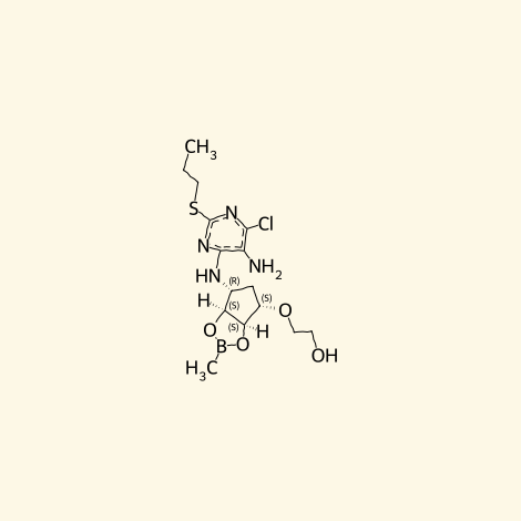 CCCSc1nc(Cl)c(N)c(N[C@@H]2C[C@H](OCCO)[C@H]3OB(C)O[C@H]32)n1